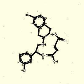 O=C(O)C=CC(=O)O.Oc1ccc2c(c1)CC(NCC(O)c1cccc(Cl)c1)CC2